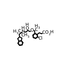 C[C@@H](OC[C@H](O)CNC(C)(C)CC1Cc2ccccc2C1)c1cccc(Cl)c1CCC(=O)O